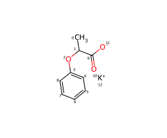 CC(Oc1ccccc1)C(=O)[O-].[K+]